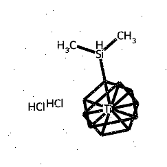 C[SiH](C)[C]12[CH]3[CH]4[CH]5[CH]1[Ti]45321678[CH]2[CH]1[CH]6[CH]7[CH]28.Cl.Cl